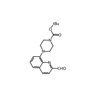 CC(C)(C)OC(=O)N1CCN(c2cccc3ccc(C=O)nc23)CC1